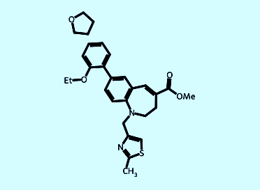 C1CCOC1.CCOc1ccccc1-c1ccc2c(c1)C=C(C(=O)OC)CCN2Cc1csc(C)n1